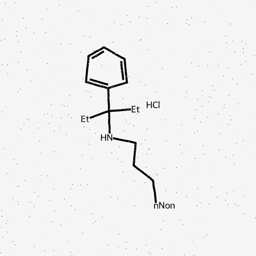 CCCCCCCCCCCCNC(CC)(CC)c1ccccc1.Cl